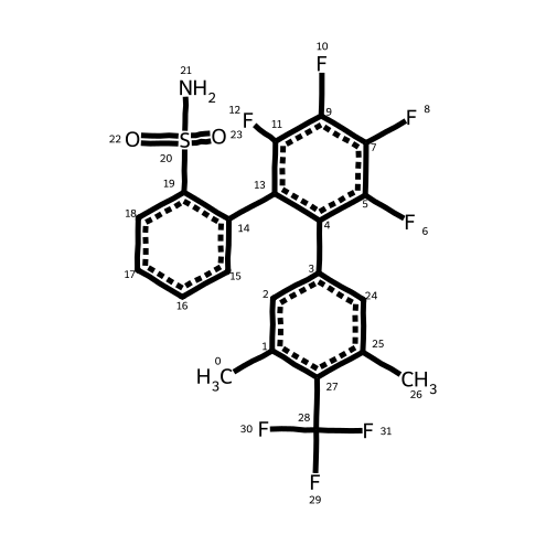 Cc1cc(-c2c(F)c(F)c(F)c(F)c2-c2ccccc2S(N)(=O)=O)cc(C)c1C(F)(F)F